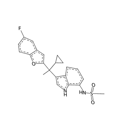 CC(c1cc2cc(F)ccc2o1)(c1c[nH]c2c(NS(C)(=O)=O)cccc12)C1CC1